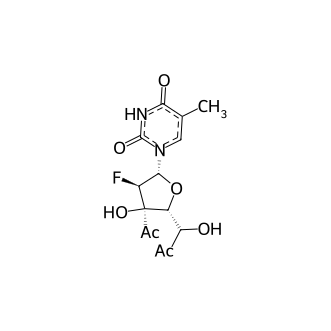 CC(=O)C(O)[C@H]1O[C@@H](n2cc(C)c(=O)[nH]c2=O)[C@H](F)[C@@]1(O)C(C)=O